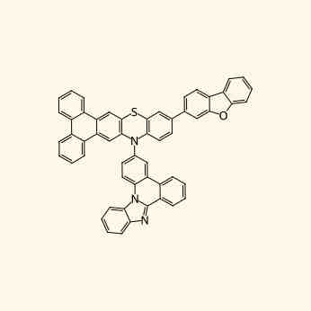 c1ccc2c(c1)nc1c3ccccc3c3cc(N4c5ccc(-c6ccc7c(c6)oc6ccccc67)cc5Sc5cc6c7ccccc7c7ccccc7c6cc54)ccc3n21